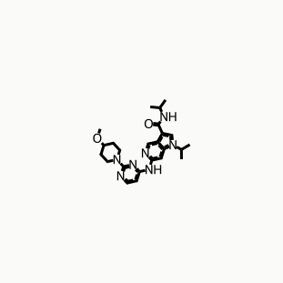 COC1CCN(c2nccc(Nc3cc4c(cn3)c(C(=O)NC(C)C)cn4C(C)C)n2)CC1